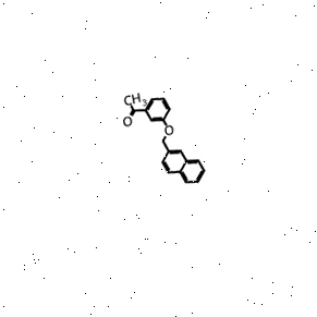 CC(=O)c1cccc(OCc2ccc3ccccc3c2)c1